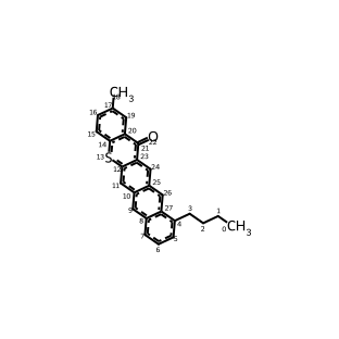 CCCCc1cccc2cc3cc4sc5ccc(C)cc5c(=O)c4cc3cc12